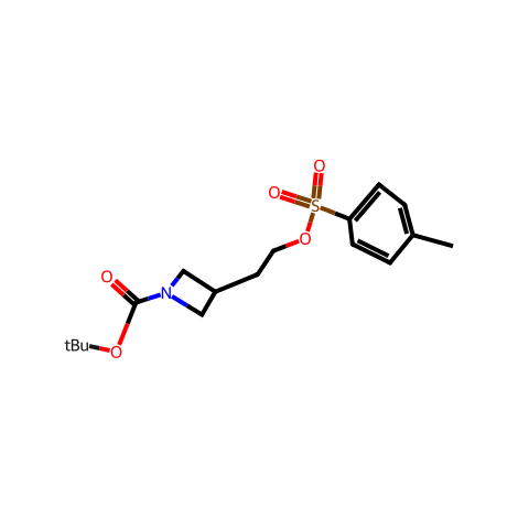 Cc1ccc(S(=O)(=O)OCCC2CN(C(=O)OC(C)(C)C)C2)cc1